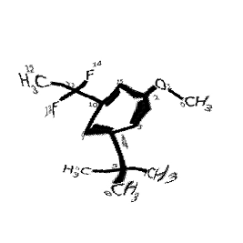 COc1cc(C(C)(C)C)cc(C(C)(F)F)c1